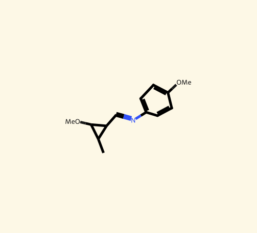 COc1ccc(N=CC2C(C)C2OC)cc1